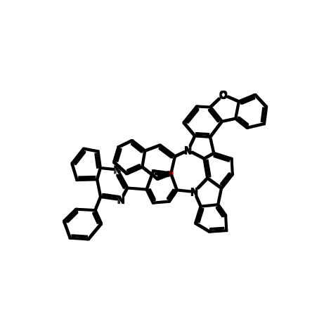 c1ccc(-c2nc(-c3ccc(-n4c5ccccc5c5ccc6c7c8c(ccc7n(-c7ccc9ccccc9c7)c6c54)oc4ccccc48)cc3)nc3ccccc23)cc1